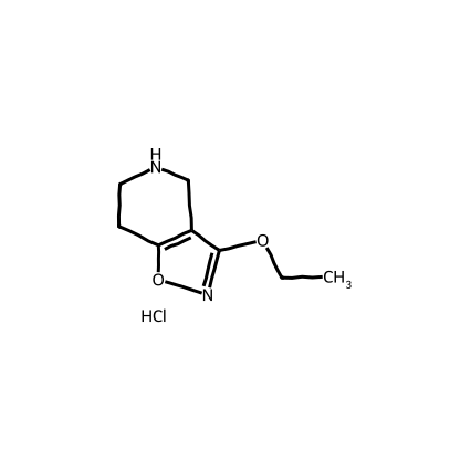 CCOc1noc2c1CNCC2.Cl